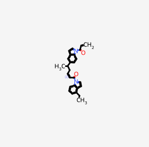 C=CC(=O)n1ccc2cc(C(C)C/C=C\C(=O)n3ccc4c(CC)cccc43)ccc21